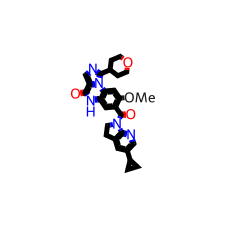 COc1cc2c(cc1C(=O)N1CCc3cc(C4CC4)cnc31)[nH]c(=O)c1cnc(C3CCOCC3)n12